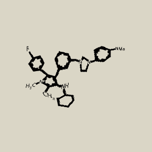 CNc1ccc(N2CCN(c3cccc(-c4c(NC5CCCCC5)c(C)n(C)c4-c4ccc(F)cc4)c3)C2)cc1